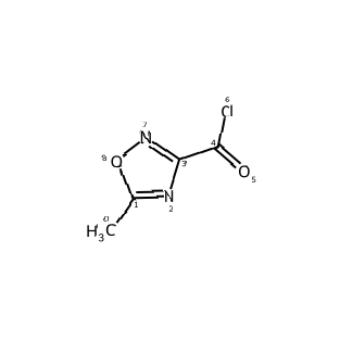 Cc1nc(C(=O)Cl)no1